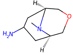 CN1[C@@H]2COC[C@H]1CC(N)C2